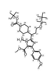 COC(=O)c1c(-c2ccc(OC)cc2)nc(C(CCO[Si](C)(C)C(C)(C)C)C2CCN(C(=O)OC(C)(C)C)CC2)n1N